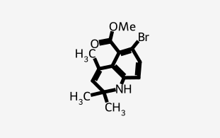 COC(=O)c1c(Br)ccc2c1C(C)=CC(C)(C)N2